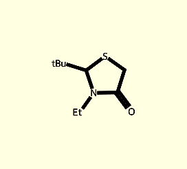 CCN1C(=O)CSC1C(C)(C)C